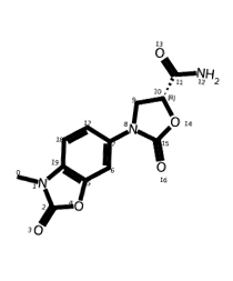 Cn1c(=O)oc2cc(N3C[C@H](C(N)=O)OC3=O)ccc21